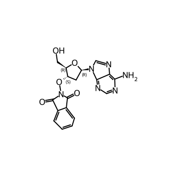 Nc1ncnc2c1ncn2[C@H]1C[C@H](ON2C(=O)c3ccccc3C2=O)[C@@H](CO)O1